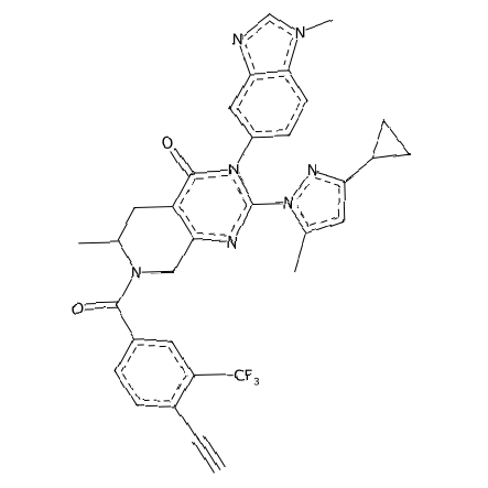 C#Cc1ccc(C(=O)N2Cc3nc(-n4nc(C5CC5)cc4C)n(-c4ccc5c(c4)ncn5C)c(=O)c3CC2C)cc1C(F)(F)F